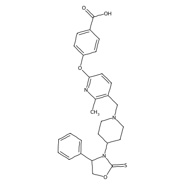 Cc1nc(Oc2ccc(C(=O)O)cc2)ccc1CN1CCC(N2C(=S)OCC2c2ccccc2)CC1